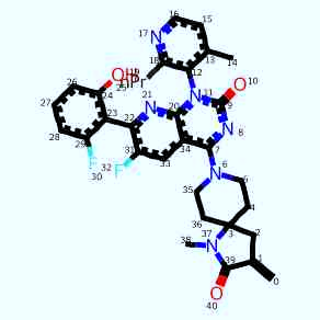 C=C1CC2(CCN(c3nc(=O)n(-c4c(C)ccnc4CCC)c4nc(-c5c(O)cccc5F)c(F)cc34)CC2)N(C)C1=O